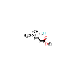 CCOC(=O)CCC[SiH](C)C.F